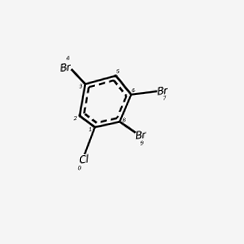 Clc1cc(Br)cc(Br)c1Br